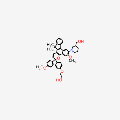 COc1ccc(C2(c3ccc(OCCO)cc3)C=Cc3c4c(c5cc(N6CCCC(CO)C6)c(OC)cc5c3O2)-c2ccccc2C4(C)C)cc1